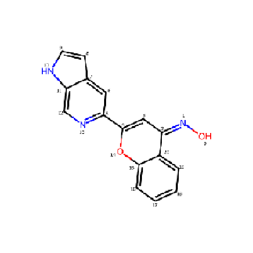 O/N=c1/cc(-c2cc3cc[nH]c3cn2)oc2ccccc12